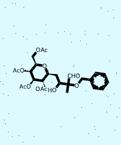 CC(=O)OC[C@H]1O[C@@H](CC(O)C(C)(C=O)OCc2ccccc2)[C@H](OC(C)=O)[C@@H](OC(C)=O)[C@H]1OC(C)=O